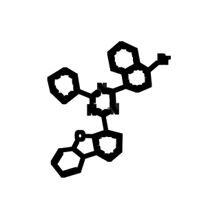 Brc1ccc(-c2nc(-c3ccccc3)nc(-c3cccc4c3OC3C=CC=CC43)n2)c2ccccc12